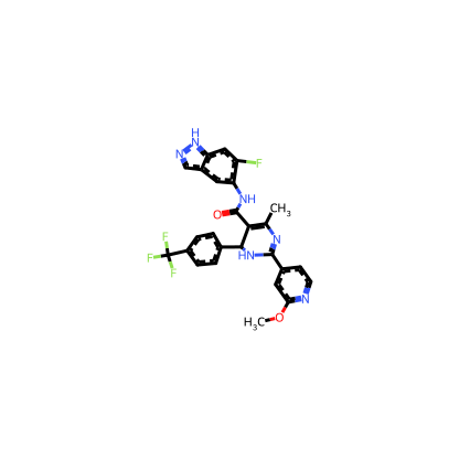 COc1cc(C2=NC(C)=C(C(=O)Nc3cc4cn[nH]c4cc3F)C(c3ccc(C(F)(F)F)cc3)N2)ccn1